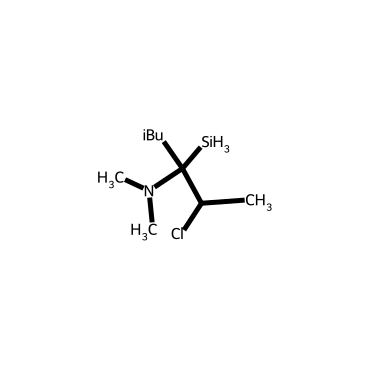 CCC(C)C([SiH3])(C(C)Cl)N(C)C